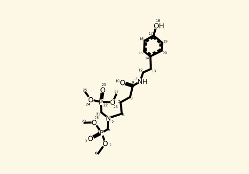 COP(=O)(CN(CCCC(=O)NCCc1ccc(O)cc1)CP(=O)(OC)OC)OC